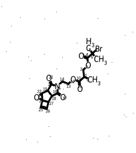 CC(COC(=O)C(C)(C)Br)C(=O)OCCN1C(=O)C2C(C1=O)C1OC13C=CC23